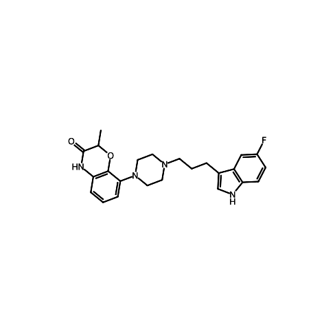 CC1Oc2c(cccc2N2CCN(CCCc3c[nH]c4ccc(F)cc34)CC2)NC1=O